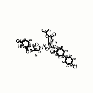 CC(C)OC(=O)[C@H](C)N[PH](O)(OC[C@@H]1C[C@@](C)(F)[C@H](n2ccc(=O)[nH]c2=O)O1)Oc1ccc(-c2ccc(Cl)cc2)cc1